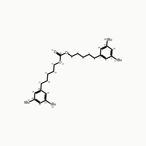 CC(C)(C)c1cc(CCCCCOC(=O)OCCCCCc2cc(C(C)(C)C)cc(C(C)(C)C)c2)cc(C(C)(C)C)c1